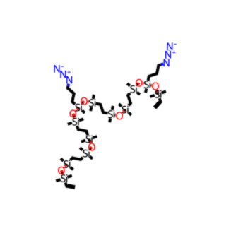 C=C[Si](C)(C)O[Si](C)(C)CC[Si](C)(C)O[Si](C)(C)CC[Si](C)(C)O[Si](C)(CCCN=[N+]=[N-])O[Si](C)(C)CC[Si](C)(C)O[Si](C)(C)CC[Si](C)(C)O[Si](C)(CCCN=[N+]=[N-])O[Si](C)(C)C=C